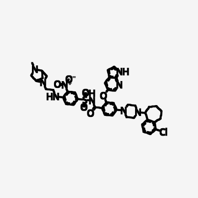 CN1CC2CC1CN2CCNc1ccc(S(=O)(=O)NC(=O)c2ccc(N3CCN(C4CCCCc5c(Cl)cccc54)CC3)cc2Oc2cnc3[nH]ccc3c2)cc1[N+](=O)[O-]